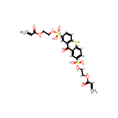 C=CC(=O)OCCOS(=O)(=O)c1ccc2sc3ccc(S(=O)(=O)OCCOC(=O)C=C)cc3c(=O)c2c1